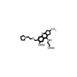 COCCNc1c2c(nc3cc(COCCN4CCCC4)c(OC)cc13)CC(C)C2